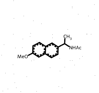 COc1ccc2cc(C(C)NC(C)=O)ccc2c1